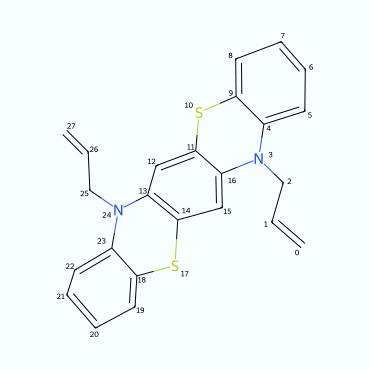 C=CCn1c2ccccc2sc2cc3c(cc21)sc1ccccc1n3CC=C